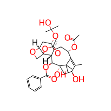 CC(=O)O[C@H]1C[C@]2(C)[C@@H](OC(C)(C)O)C[C@H]3OC[C@@]3(OC(C)=O)[C@H]2[C@H](OC(=O)c2ccccc2)[C@]2(O)C[C@H](O)C(C)=C1C2(C)C